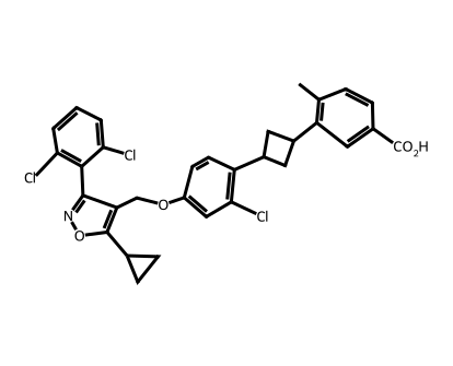 Cc1ccc(C(=O)O)cc1C1CC(c2ccc(OCc3c(-c4c(Cl)cccc4Cl)noc3C3CC3)cc2Cl)C1